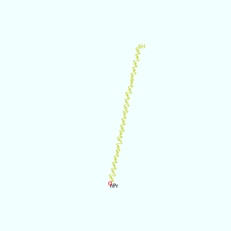 CCCOSSSSSSSSSSSSSSSSSSSSSSSSSSSSSSSSSSSSSSSSSSS